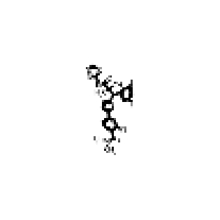 CN(C)C(=O)c1ccc(-c2ccc(C(c3cc(F)cc(F)c3)C(C)(C)C(=O)Nc3nncs3)s2)cc1Cl